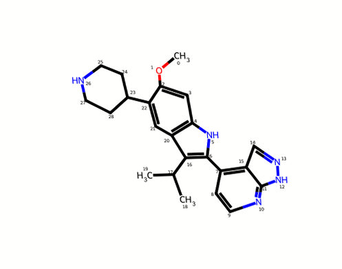 COc1cc2[nH]c(-c3ccnc4[nH]ncc34)c(C(C)C)c2cc1C1CCNCC1